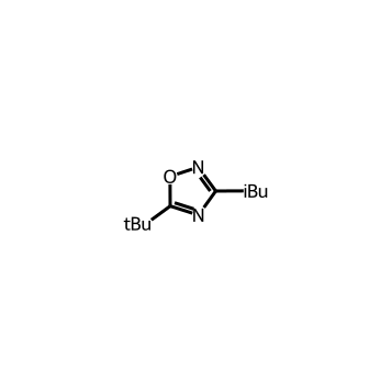 CCC(C)c1noc(C(C)(C)C)n1